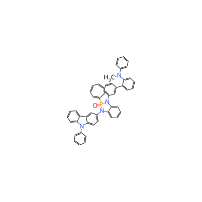 CN(c1ccccc1)c1ccccc1-c1cccc(N2c3ccccc3N(c3ccc4c(c3)c3ccccc3n4-c3ccccc3)P2(=O)C2=CC=CC=CC2)c1